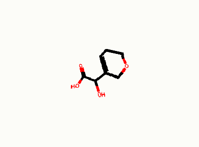 O=C(O)C(O)C1=CCCOC1